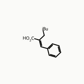 CCC(C)CC(=Cc1ccccc1)C(=O)O